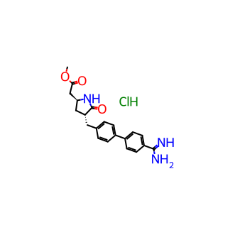 COC(=O)C[C@@H]1C[C@@H](Cc2ccc(-c3ccc(C(=N)N)cc3)cc2)C(=O)N1.Cl